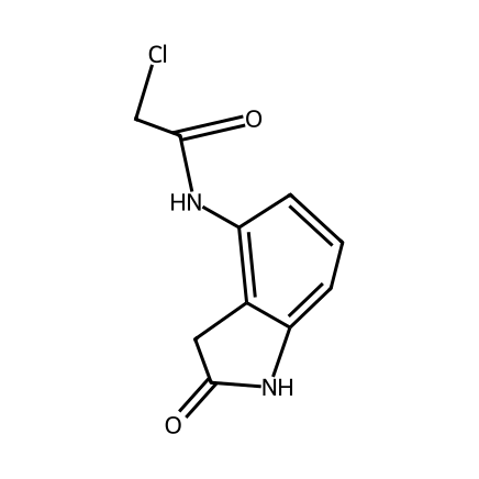 O=C(CCl)Nc1cccc2c1CC(=O)N2